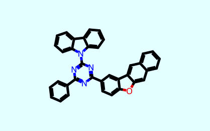 c1ccc(-c2nc(-c3ccc4oc5cc6ccccc6cc5c4c3)nc(-n3c4ccccc4c4ccccc43)n2)cc1